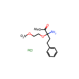 COC(=O)C(N)(CCc1ccccc1)OCCO[N+](=O)[O-].Cl